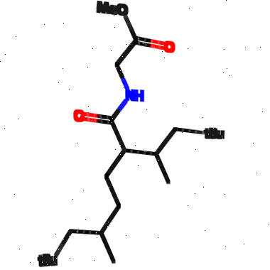 COC(=O)CNC(=O)C(CCC(C)CC(C)(C)C)C(C)CC(C)(C)C